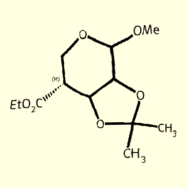 CCOC(=O)[C@@H]1COC(OC)C2OC(C)(C)OC21